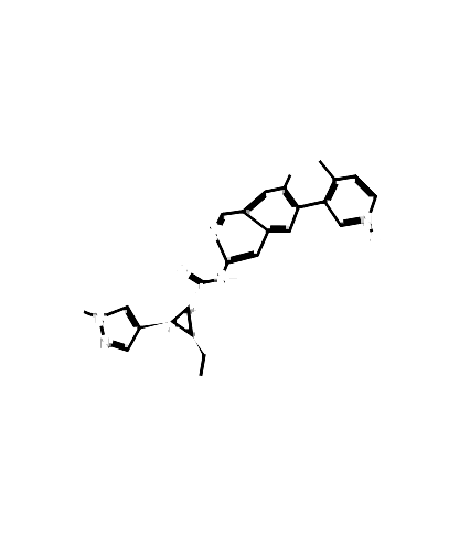 CC[C@@H]1[C@@H](C(=O)Nc2cc3cc(-c4c[n+]([O-])ccc4C)c(F)cc3cn2)[C@@H]1c1cnn(C)c1